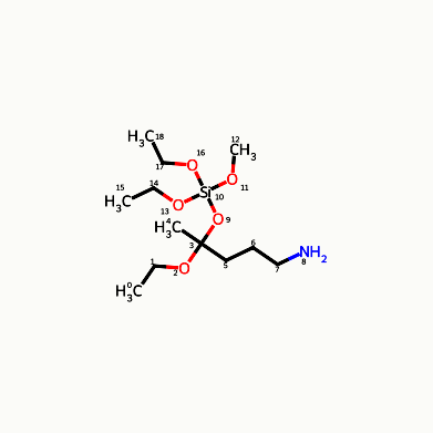 CCOC(C)(CCCN)O[Si](OC)(OCC)OCC